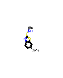 COc1ccc2nc(SNC(C)(C)C)sc2c1